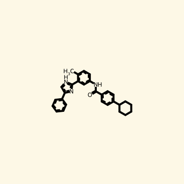 Cc1ccc(NC(=O)c2ccc(C3CCCCC3)cc2)cc1-c1nc(-c2ccccc2)c[nH]1